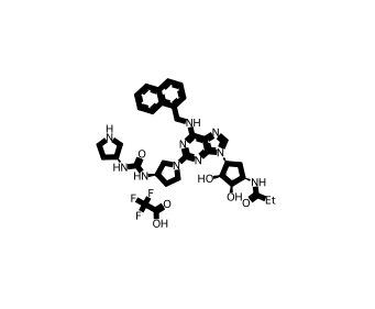 CCC(=O)N[C@H]1C[C@@H](n2cnc3c(NCc4cccc5ccccc45)nc(N4CC[C@@H](NC(=O)N[C@@H]5CCNC5)C4)nc32)[C@H](O)[C@@H]1O.O=C(O)C(F)(F)F